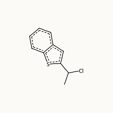 CC(Cl)c1cc2ccccc2s1